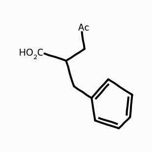 CC(=O)CC(Cc1ccccc1)C(=O)O